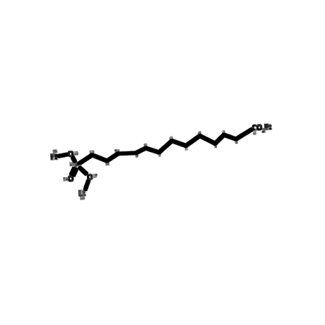 CCOC(=O)CCCCCCCCCCCCP(=O)(OCC)OCC